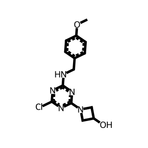 COc1ccc(CNc2nc(Cl)nc(N3CC(O)C3)n2)cc1